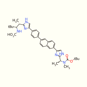 C[C@H](c1nc(-c2ccc(-c3ccc4cc(-c5c[nH]c([C@H](C)N(C)C(=O)OC(C)(C)C)n5)ccc4c3)cc2)c[nH]1)C(NC(=O)O)C(C)(C)C